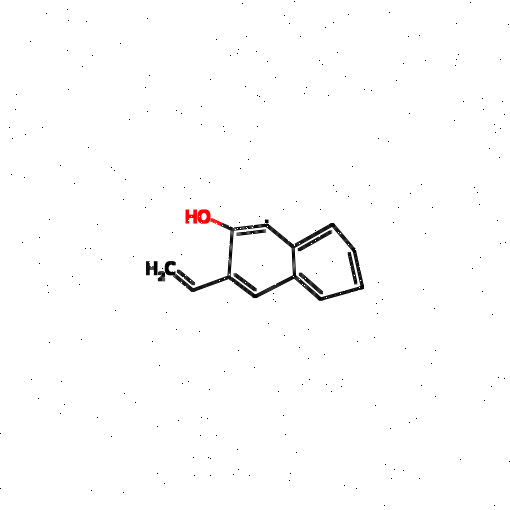 C=Cc1cc2ccccc2[c]c1O